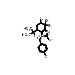 CCC1CC(C(C(=O)O)(C(=O)O)C(=O)O)c2c(nc(C(C)C)n2Cc2ccc(Cl)cc2)C1(CC)CC